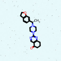 C[C@@H](c1ccc2c(c1)OCC2)N1CCN(c2ncc3c(n2)CCCC3=O)CC1